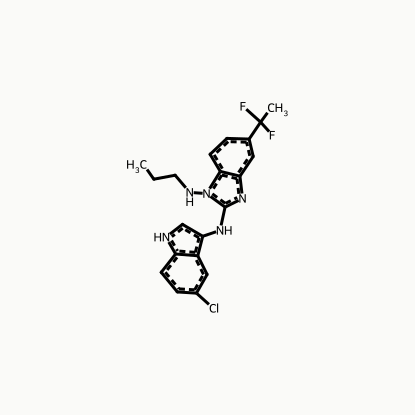 CCCNn1c(Nc2c[nH]c3ccc(Cl)cc23)nc2cc(C(C)(F)F)ccc21